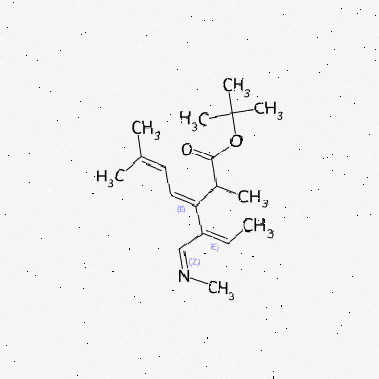 C/C=C(/C=N\C)C(=C\C=C(C)C)\C(C)C(=O)OC(C)(C)C